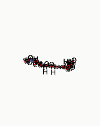 C[C@H]1C2[C@@H](CN1c1ccc(CCNC(=O)CCCC(=O)NCCCCCCCCNc3cccc4c3C(=O)N(C3CCC(=O)NC3=O)C4=O)cc1)N2/C=C/C(=O)c1ccccc1O